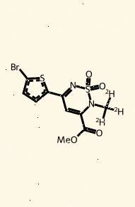 [2H]C([2H])([2H])N1C(C(=O)OC)=CC(c2ccc(Br)s2)=NS1(=O)=O